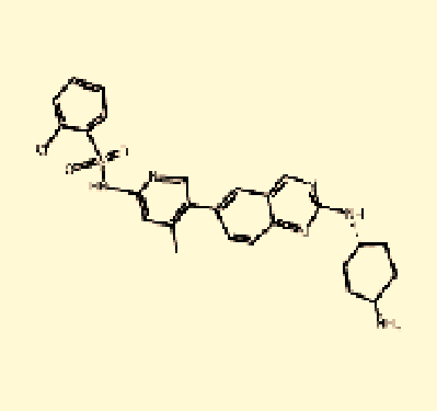 Cc1cc(NS(=O)(=O)c2ccccc2Cl)ncc1-c1ccc2nc(N[C@H]3CC[C@H](N)CC3)ncc2c1